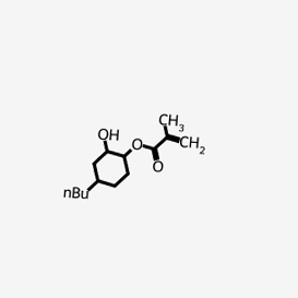 C=C(C)C(=O)OC1CCC(CCCC)CC1O